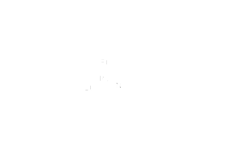 C[CH2][Ru]([CH2]C)[n]1cccc1